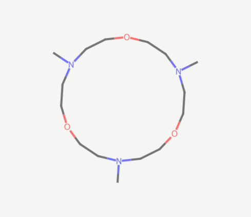 CN1CCOCCN(C)CCOCCN(C)CCOCC1